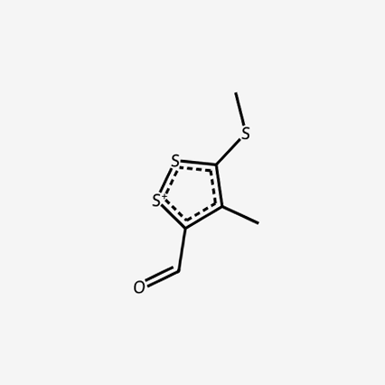 CSc1s[s+]c(C=O)c1C